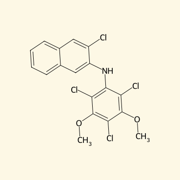 COc1c(Cl)c(Nc2cc3ccccc3cc2Cl)c(Cl)c(OC)c1Cl